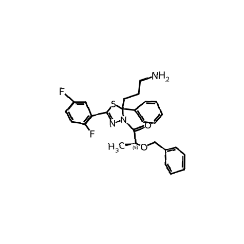 C[C@H](OCc1ccccc1)C(=O)N1N=C(c2cc(F)ccc2F)SC1(CCCN)c1ccccc1